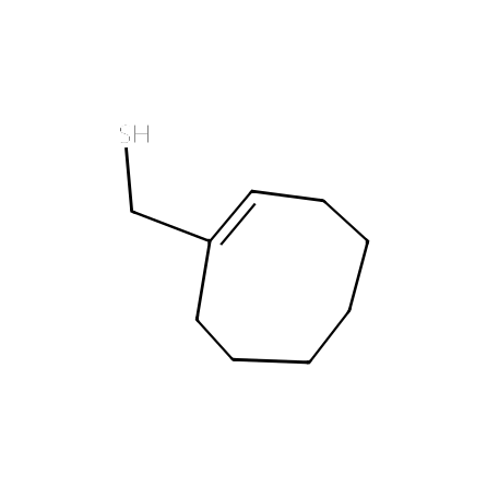 SCC1=CCCCCCC1